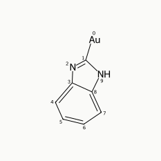 [Au][c]1nc2ccccc2[nH]1